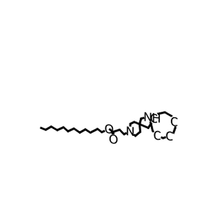 CCCCCCCCCCCCOC(=O)CCN1CCC2(CC1)CNC1(CCCCCCCCCCC1)C2